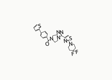 O=C(c1ccc(-c2cccs2)cc1)N1CCn2c(nnc2-c2csc(N3CCC(F)(F)CC3)n2)C1